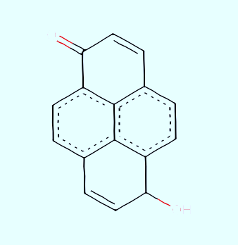 O=C1C=Cc2ccc3c4c(ccc1c24)C=CC3O